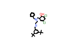 CC(C)(C)C1=CC(C(C)(C)C)CC(/C=N/CCN(Cc2ccccc2)CC2C=C(Cl)C=C(Cl)C2O)=C1